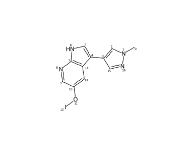 Cn1cc(-c2c[nH]c3ncc(OI)cc23)cn1